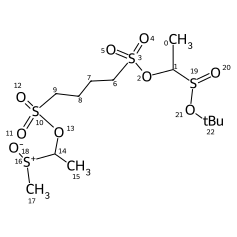 CC(OS(=O)(=O)CCCCS(=O)(=O)OC(C)[S+](C)[O-])S(=O)OC(C)(C)C